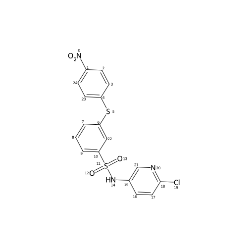 O=[N+]([O-])c1ccc(Sc2cccc(S(=O)(=O)Nc3ccc(Cl)nc3)c2)cc1